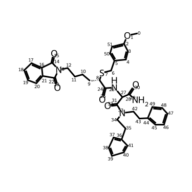 COc1ccc(CS[C@@H](CCCCN2C(=O)c3ccccc3C2=O)C(=O)NC(C(N)=O)C(=O)N(CCc2ccccc2)CCc2ccccc2)cc1